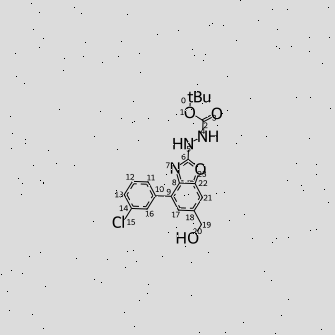 CC(C)(C)OC(=O)NNc1nc2c(-c3cccc(Cl)c3)cc(CO)cc2o1